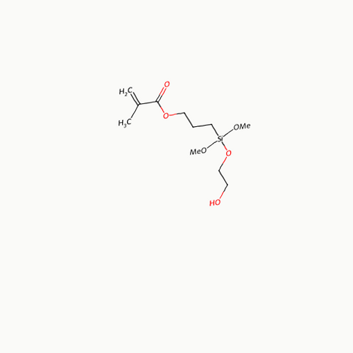 C=C(C)C(=O)OCCC[Si](OC)(OC)OCCO